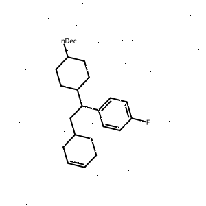 CCCCCCCCCCC1CCC(C(CC2CC=CCC2)c2ccc(F)cc2)CC1